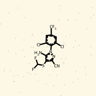 N#Cc1nn(-c2c(Cl)cc(C(F)(F)F)cc2Cl)c(N)c1SC(F)F